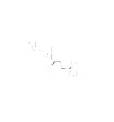 NCCCNC(=O)CCC(N)=O